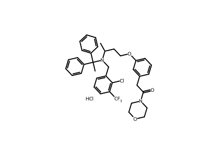 CC(CCOc1cccc(CC(=O)N2CCOCC2)c1)N(Cc1cccc(C(F)(F)F)c1Cl)C(C)(c1ccccc1)c1ccccc1.Cl